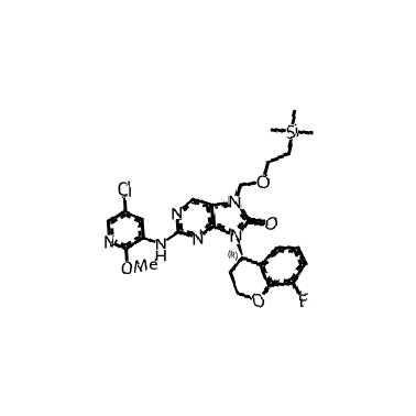 COc1ncc(Cl)cc1Nc1ncc2c(n1)n([C@@H]1CCOc3c(F)cccc31)c(=O)n2COCC[Si](C)(C)C